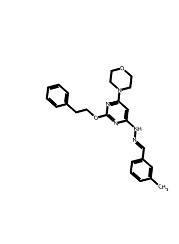 Cc1cccc(/C=N/Nc2cc(N3CCOCC3)nc(OCCc3ccccc3)n2)c1